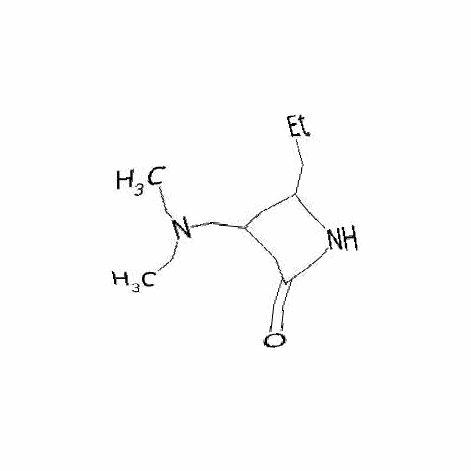 CCC1NC(=O)C1N(C)C